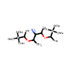 CCCC(OC(C)C(N)C(C)OC(CCC)[Si](OC)(OC)OC)[Si](OC)(OC)OC